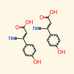 N#CC(=CC(=O)O)c1ccc(O)cc1.N#CC(=CC(=O)O)c1ccc(O)cc1